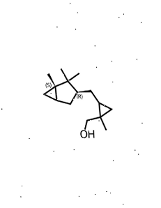 CC1(CO)CC1C[C@H]1CC2C[C@]2(C)C1(C)C